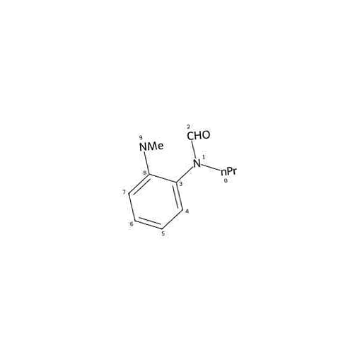 CCCN(C=O)c1ccccc1NC